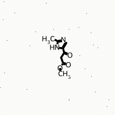 COC(=O)CC(=O)c1cnc(C)[nH]1